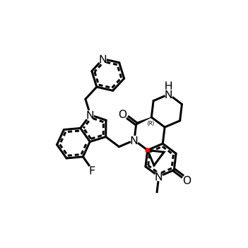 Cn1ccc(C2CCNC[C@@H]2C(=O)N(Cc2cn(Cc3cccnc3)c3cccc(F)c23)C2CC2)cc1=O